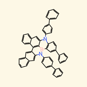 c1ccc(-c2ccc(N3B4c5cc(-c6ccccc6)ccc5N(c5ccc(-c6ccccc6)cc5)c5cc6ccccc6c(c54)-c4cc5ccccc5cc43)cc2)cc1